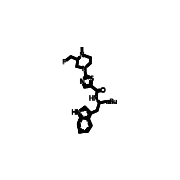 CCCCC(Cc1c[nH]c2ccccc12)NC(=O)c1cnc(N2CCN(C)C(CF)C2)s1